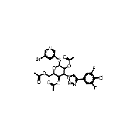 CC(=O)OCC1OC(Sc2cncc(Br)c2)C(OC(C)=O)C(n2cc(-c3cc(F)c(Cl)c(F)c3)nn2)C1OC(C)=O